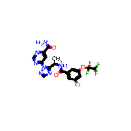 C[C@H](NC(=O)c1cc(Cl)cc(OC(F)(F)C(F)F)c1)c1ncnn1-c1cc(C(N)=O)ncn1